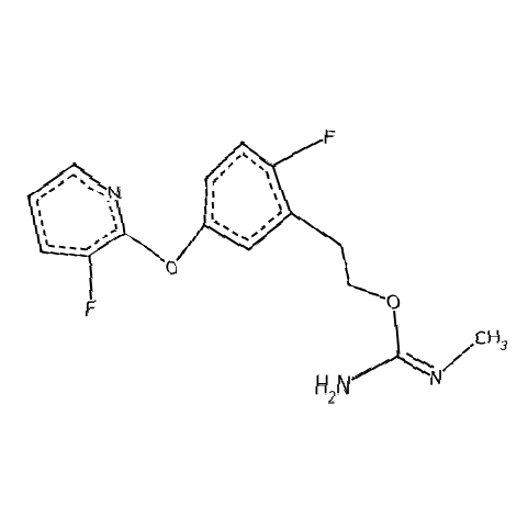 C/N=C(/N)OCCc1cc(Oc2ncccc2F)ccc1F